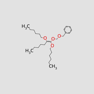 CCCCCCOC(CCCCC)=C(OCCCCCC)OCOCc1ccccc1